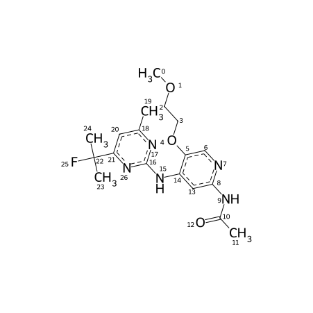 COCCOc1cnc(NC(C)=O)cc1Nc1nc(C)cc(C(C)(C)F)n1